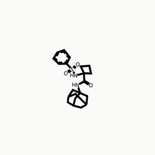 O=C(NC12CC3CC(CC(C3)C1)C2)C1(NS(=O)(=O)c2ccccc2)CCC1